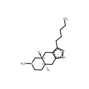 CCCCCc1n[nH]c2c1C[C@H]1CN(C)CC[C@@H]1C2